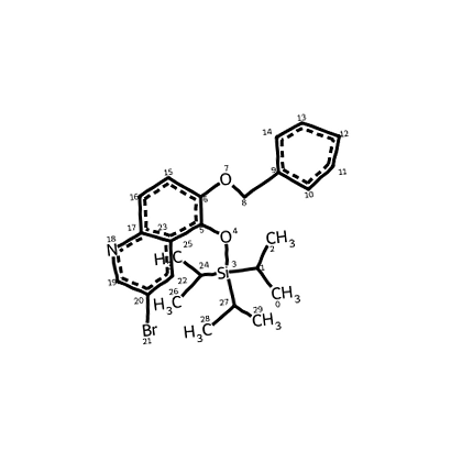 CC(C)[Si](Oc1c(OCc2ccccc2)ccc2ncc(Br)cc12)(C(C)C)C(C)C